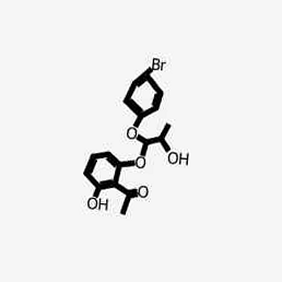 CC(=O)c1c(O)cccc1OC(Oc1ccc(Br)cc1)C(C)O